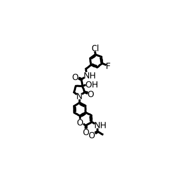 CC(=O)Nc1cc2cc(N3CCC(O)(C(=O)NCc4cc(F)cc(Cl)c4)C3=O)ccc2oc1=O